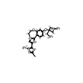 Cc1nc(-c2cn3c(n2)-c2ccc(OC4(CC(C)C)CN(C(C)C)C4)cc2OCC3)n(C(C)C)n1